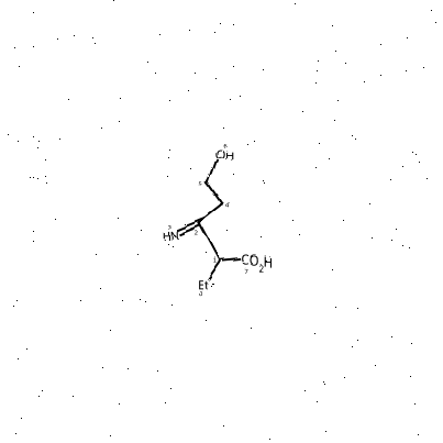 CCC(C(=N)CCO)C(=O)O